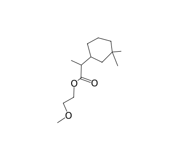 COCCOC(=O)C(C)C1CCCC(C)(C)C1